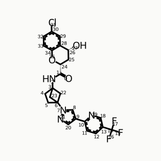 O=C(NC12CCC(n3cc(-c4ccc(C(F)(F)F)cn4)cn3)(C1)C2)[C@H]1C[C@@H](O)c2cc(Cl)ccc2O1